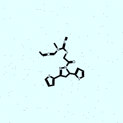 C=C=C(SCC(=O)N1N=C(c2cccs2)CC1c1cccs1)N(C)C=C=CC